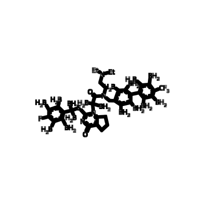 Bc1c(B)c(C(B)(B)Sc2nc(=O)c3c(n2C(B)(B)C(=O)N(CCN(CC)CC)Cc2c(B)c(B)c(-c4c(B)c(B)c(C(F)(F)F)c(B)c4B)c(B)c2B)CCC3)c(B)c(B)c1F